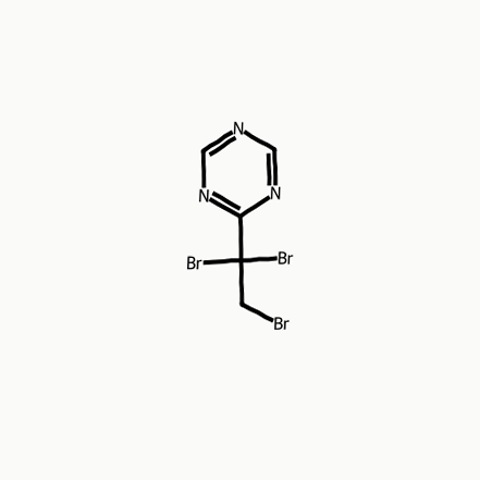 BrCC(Br)(Br)c1ncncn1